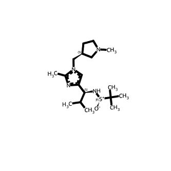 Cc1nc([C@@H](N[S@@+]([O-])C(C)(C)C)C(C)C)cn1C[C@H]1CCN(C)C1